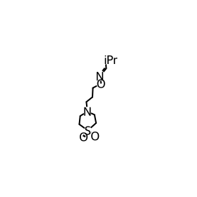 CC(C)/C=N/OCCCN1CCS(=O)(=O)CC1